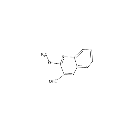 O=Cc1cc2ccccc2nc1OC(F)(F)F